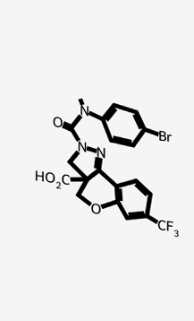 CN(C(=O)N1CC2(C(=O)O)COc3cc(C(F)(F)F)ccc3C2=N1)c1ccc(Br)cc1